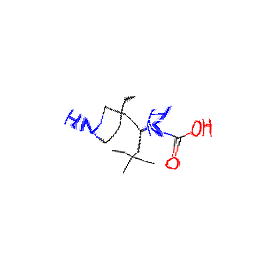 CC(C)(C)C(NC(=O)O)C1(C)CNC1